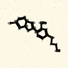 COc1cc(OCCO)ccc1C1=NC2C=CC(I)=CN2C1